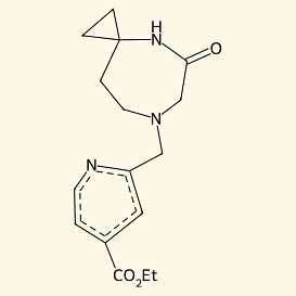 CCOC(=O)c1ccnc(CN2CCC3(CC3)NC(=O)C2)c1